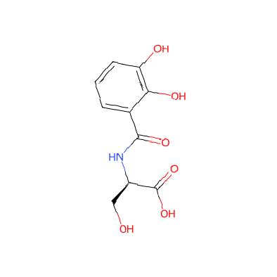 O=C(N[C@H](CO)C(=O)O)c1cccc(O)c1O